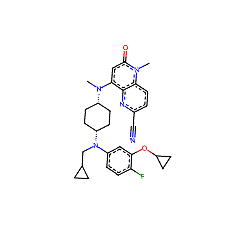 Cn1c(=O)cc(N(C)[C@H]2CC[C@@H](N(CC3CC3)c3ccc(F)c(OC4CC4)c3)CC2)c2nc(C#N)ccc21